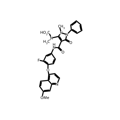 COc1ccc2c(Oc3ccc(NC(=O)c4c(N(C)C(=O)O)n(C)n(-c5ccccc5)c4=O)cc3F)ccnc2c1